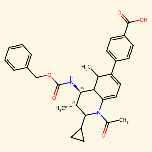 CC(=O)N1C2=CC=C(c3ccc(C(=O)O)cc3)C(C)C2[C@H](NC(=O)OCc2ccccc2)[C@@H](C)C1C1CC1